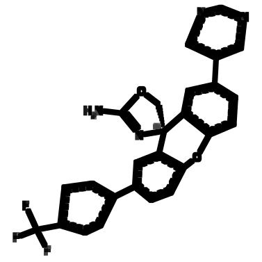 NC1=N[C@]2(CO1)c1cc(-c3ccc(C(F)(F)F)cc3)ccc1Oc1ccc(-c3cncnc3)cc12